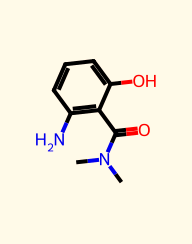 CN(C)C(=O)c1c(N)cccc1O